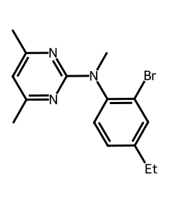 CCc1ccc(N(C)c2nc(C)cc(C)n2)c(Br)c1